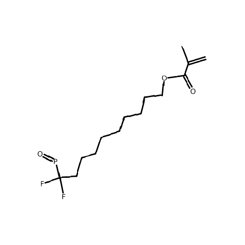 C=C(C)C(=O)OCCCCCCCCCC(F)(F)P=O